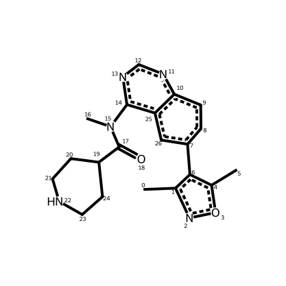 Cc1noc(C)c1-c1ccc2ncnc(N(C)C(=O)C3CCNCC3)c2c1